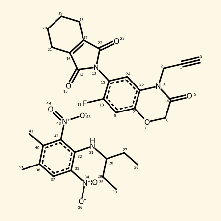 C#CCN1C(=O)COc2cc(F)c(N3C(=O)C4=C(CCCC4)C3=O)cc21.CCC(CC)Nc1c([N+](=O)[O-])cc(C)c(C)c1[N+](=O)[O-]